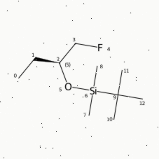 CC[C@@H](CF)O[Si](C)(C)C(C)(C)C